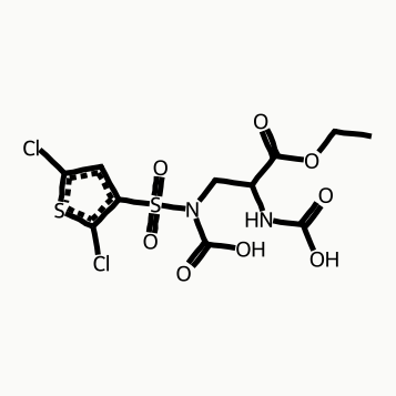 CCOC(=O)C(CN(C(=O)O)S(=O)(=O)c1cc(Cl)sc1Cl)NC(=O)O